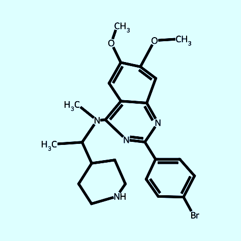 COc1cc2nc(-c3ccc(Br)cc3)nc(N(C)C(C)C3CCNCC3)c2cc1OC